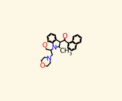 CC1C(C(=O)c2cccc3ccccc23)c2cccc3c2N1C(CN1CCOCC1)CO3